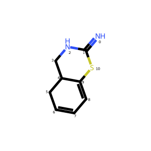 N=C1NCC2CC=CC=C2S1